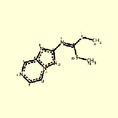 CSC(=Nc1nc2cnccn2n1)SC